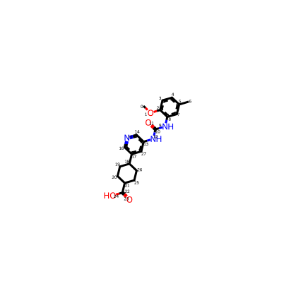 COc1ccc(C)cc1NC(=O)Nc1cncc(C2CCC(C(=O)O)CC2)c1